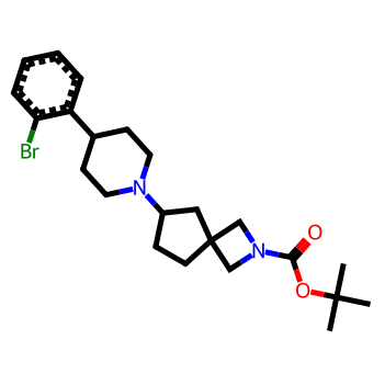 CC(C)(C)OC(=O)N1CC2(CCC(N3CCC(c4ccccc4Br)CC3)C2)C1